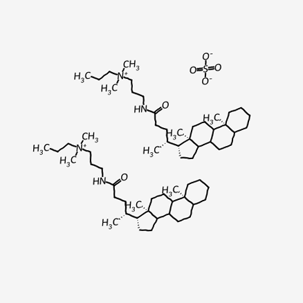 CCC[N+](C)(C)CCCNC(=O)CC[C@@H](C)[C@H]1CCC2C3CCC4CCCC[C@]4(C)C3CC[C@@]21C.CCC[N+](C)(C)CCCNC(=O)CC[C@@H](C)[C@H]1CCC2C3CCC4CCCC[C@]4(C)C3CC[C@@]21C.O=S(=O)([O-])[O-]